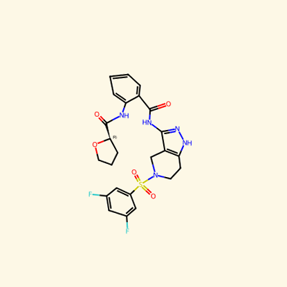 O=C(Nc1n[nH]c2c1CN(S(=O)(=O)c1cc(F)cc(F)c1)CC2)c1ccccc1NC(=O)[C@H]1CCCO1